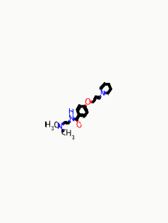 CN(C)CCNC(=O)c1ccc(OCCCN2CCCCC2)cc1